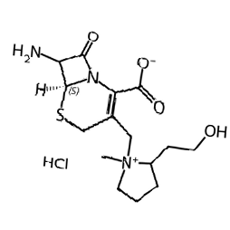 C[N+]1(CC2=C(C(=O)[O-])N3C(=O)C(N)[C@@H]3SC2)CCCC1CCO.Cl